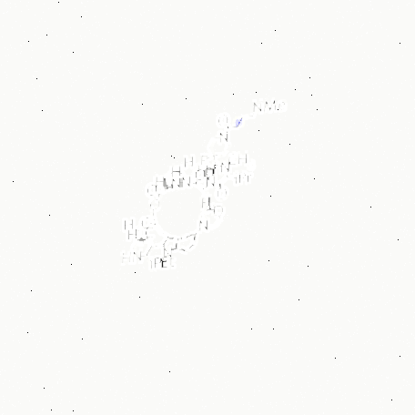 CCn1c(C2=C(C(C)C)NCC=C2)c2c3cc(ccc31)N1CCO[C@@H](CC(NC(=O)C(C(C)C)N(C)C(=O)C3(P)CCN(C(=O)/C=C/CNC)CC3)C(=O)N3CCC[C@H](N3)C(=O)OCC(C)(C)C2)C1